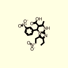 CCc1nc2n(c1CC[N+](=O)[O-])C(c1cccc([N+](=O)[O-])c1)C(C(=O)O)=C(C)N2